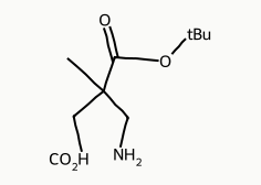 CC(C)(C)OC(=O)C(C)(CN)CC(=O)O